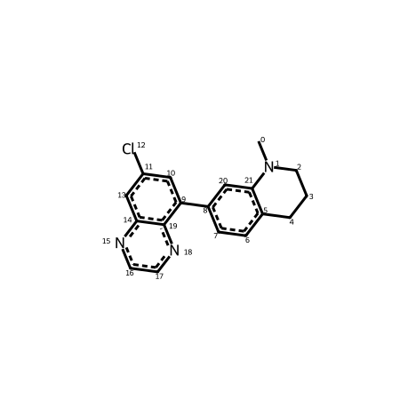 CN1CCCc2ccc(-c3cc(Cl)cc4nccnc34)cc21